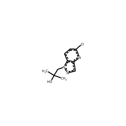 CC(C)(O)Cn1ncc2nc(Cl)ccc21